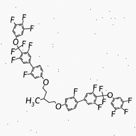 CC(CCOc1ccc(-c2cc(F)c(C(F)(F)Oc3cc(F)c(F)c(F)c3)c(F)c2)c(F)c1)CCOc1ccc(-c2cc(F)c(C(F)(F)Oc3cc(F)c(F)c(F)c3)c(F)c2)c(F)c1